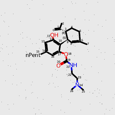 C=C(C)[C@@H]1CCC(C)=C[C@H]1c1c(O)cc(CCCCC)cc1OC(=O)NCCN(C)C